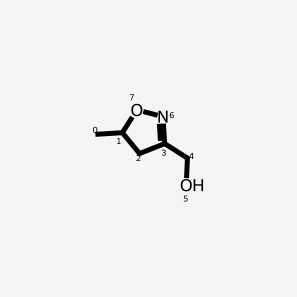 CC1CC(CO)=NO1